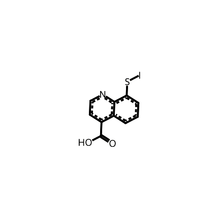 O=C(O)c1ccnc2c(SI)cccc12